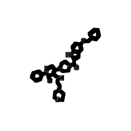 O=C(c1cc2cc(OCc3ccccc3)ccc2[nH]1)N1CCN(c2cnn(-c3ccccc3)c(=O)c2NCCN2CCOCC2)CC1